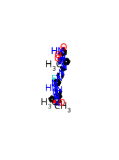 CN(C)C(=O)c1cc2cnc(Nc3ccc(N4CCN(C5CN(c6cccc7c6n(C)c(=O)n7[C@@H]6CCC(=O)NC6=O)C5)CC4)c(F)n3)nc2n1C1CCCC1